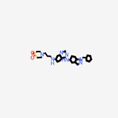 O=S1(=O)CCN(CCCNc2ccc3c(Nc4ccc5c(cnn5Cc5ccccc5)c4)ncnc3c2)CC1